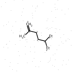 C=C(C)[CH]CC(CC)CC